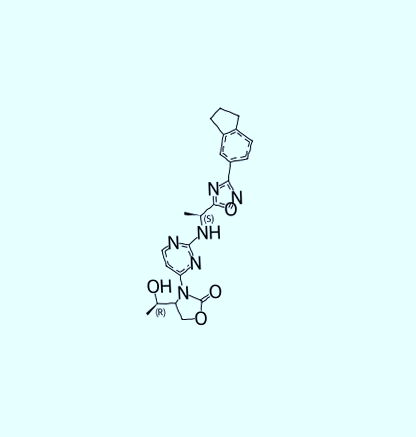 C[C@H](Nc1nccc(N2C(=O)OCC2[C@@H](C)O)n1)c1nc(-c2ccc3c(c2)CCC3)no1